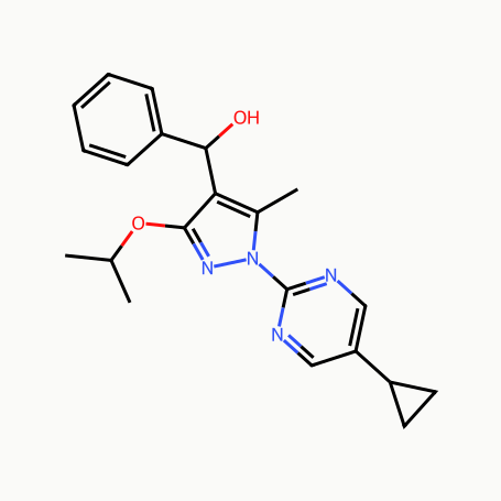 Cc1c(C(O)c2ccccc2)c(OC(C)C)nn1-c1ncc(C2CC2)cn1